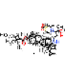 C[C@H](O)[C@@H](CCN[C@]12CC[C@@H](C3(C)CC3)[C@@H]1[C@H]1CC[C@@H]3[C@@]4(C)CC[C@H](OC(=O)[C@H]5C[C@@H](C(=O)O)C5(C)C)C(C)(C)[C@@H]4CC[C@@]3(C)[C@]1(C)CC2)N1CCS(=O)(=O)CC1